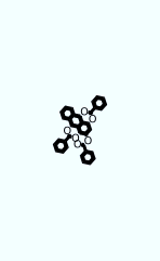 O=C(Oc1ccc2c(OC(=O)c3ccccc3)c3ccccc3cc2c1OC(=O)c1ccccc1)c1ccccc1